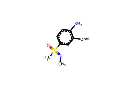 CN=S(C)(=O)c1ccc(N)c(OC)c1